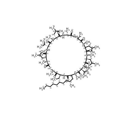 CC[C@@H]1NC(=O)C(C[C@H](C)CCCCCCCN)N(C)C(=O)[C@H](C(C)C)N(C)C(=O)[C@H](CC(C)C)N(C)C(=O)C(CC(C)C)N(C)C(=O)C(C)NC(=O)[C@@H](C)NC(=O)[C@@H](CC(C)C)N(C)C(=O)[C@@H](C(C)C)NC(=O)[C@H](CC(C)C)N(C)C(=O)CN(C)C1=O